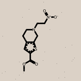 COC(=O)c1cc2c(s1)CN(CC[N+](=O)[O-])CC2